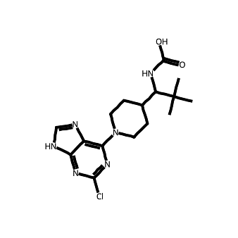 CC(C)(C)C(NC(=O)O)C1CCN(c2nc(Cl)nc3[nH]cnc23)CC1